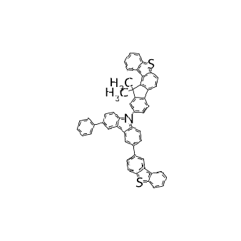 CC1(C)c2cc(-n3c4ccc(-c5ccccc5)cc4c4cc(-c5ccc6sc7ccccc7c6c5)ccc43)ccc2-c2ccc3sc4ccccc4c3c21